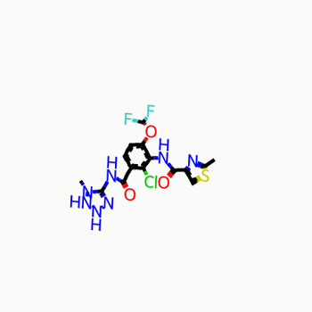 Cc1nc(C(=O)Nc2c(OC(F)F)ccc(C(=O)NC3=NNNN3C)c2Cl)cs1